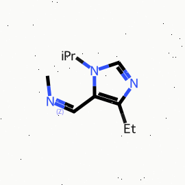 CCc1ncn(C(C)C)c1/C=N\C